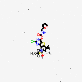 Cc1c(C2(C(C)N[S@+]([O-])C(C)(C)C)CC2)sc2c(OC(=O)NCc3ccco3)nc(Cl)nc12